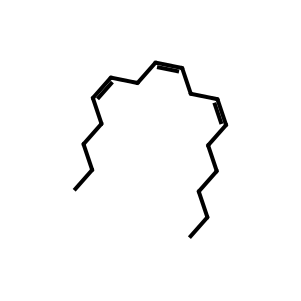 CCCC/C=C\C/C=C\C/C=C\CCCCC